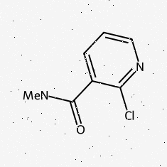 CNC(=O)c1cccnc1Cl